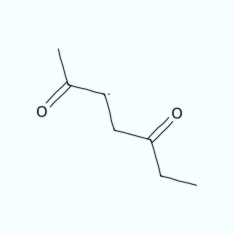 CCC(=O)C[CH]C(C)=O